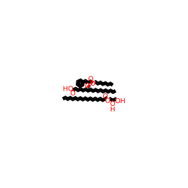 CCCCCCCCCCCCCCCCCC(=O)O.CCCCCCCCCCCCCCCCCC(=O)OCC(O)CO.CCCCCCCCOC(=O)C(=Cc1ccccc1)OC